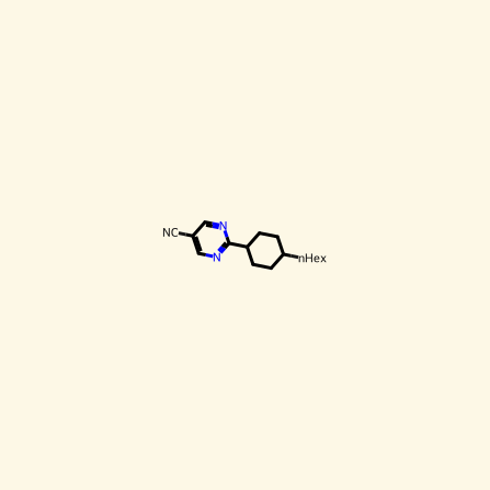 CCCCCCC1CCC(c2ncc(C#N)cn2)CC1